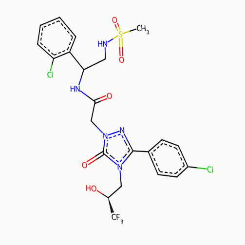 CS(=O)(=O)NCC(NC(=O)Cn1nc(-c2ccc(Cl)cc2)n(C[C@H](O)C(F)(F)F)c1=O)c1ccccc1Cl